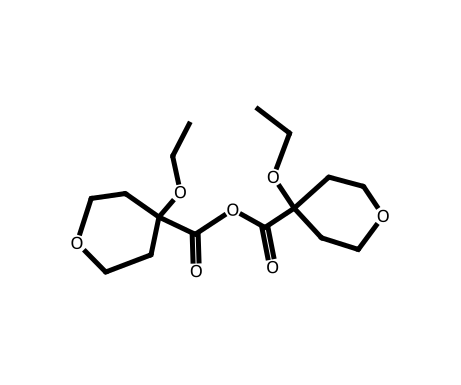 CCOC1(C(=O)OC(=O)C2(OCC)CCOCC2)CCOCC1